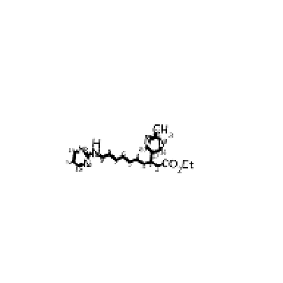 CCOC(=O)CC(CCCCCCCNc1ncccn1)c1cnc(C)nc1